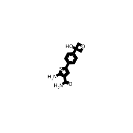 NC(=O)c1cc(-c2ccc(C3(O)COC3)cc2)sc1N